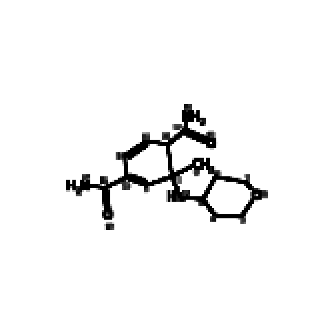 CC1(NC2CCOCC2)C=C(C(N)=O)C=CC1C(N)=O